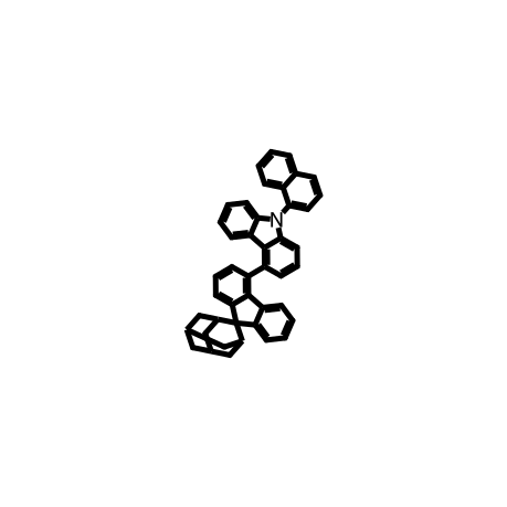 c1ccc2c(c1)-c1c(-c3cccc4c3c3ccccc3n4-c3cccc4ccccc34)cccc1C21C2CC3CC(C2)CC1C3